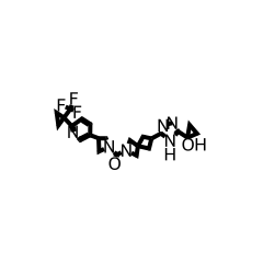 O=C(N1CC(c2ccc(C3(C(F)(F)F)CC3)nc2)C1)N1CC2(CC(c3nnc(C4(O)CC4)[nH]3)C2)C1